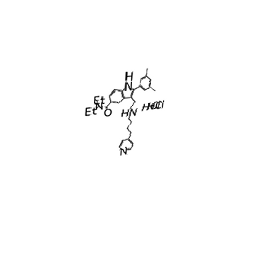 CCN(CC)C(=O)c1ccc2[nH]c(-c3cc(C)cc(C)c3)c(CCNCCCCc3ccncc3)c2c1.Cl.Cl